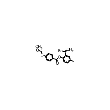 C=C(Br)c1cc(I)ccc1OC(=O)c1ccc(OCOC)cc1